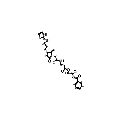 O=C(CN1C(=O)N[C@@H](CCCNC2=NCCN2)C1=O)NCCC(=O)ONC(=O)OC(=O)c1ccccc1